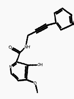 COc1ccnc(C(=O)NCC#Cc2ccccc2)c1O